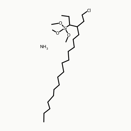 CCCCCCCCCCCCCCCC(CCCl)C(CC)[Si](OC)(OC)OC.N